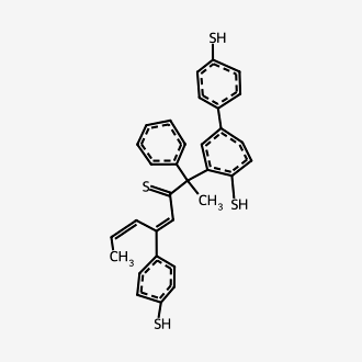 C/C=C\C(=C/C(=S)C(C)(c1ccccc1)c1cc(-c2ccc(S)cc2)ccc1S)c1ccc(S)cc1